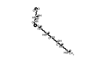 CC(=O)N(O)CCCCCNC(=O)CCC(=O)N(O)CCCCCNC(=O)CCC(=O)N(O)CCCCCNC(=O)COc1cccc(C(=O)NCC(=O)N[C@@H](CCCCN2C(=O)C=CC2=O)C(=O)O)c1